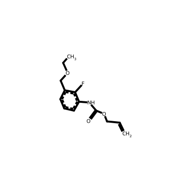 C=CCOC(=O)Nc1cccc(COCC)c1F